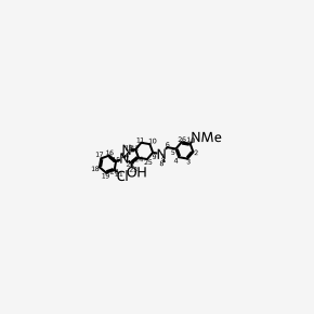 CNc1cccc(CN(C)C2CCc3nn(-c4ccccc4Cl)c(O)c3C2)c1